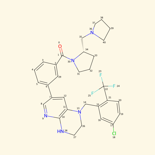 O=C(c1cccc(-c2cnc3c(c2)N(Cc2cc(Cl)ccc2C(F)(F)F)CCN3)c1)N1CCC[C@H]1CN1CCCC1